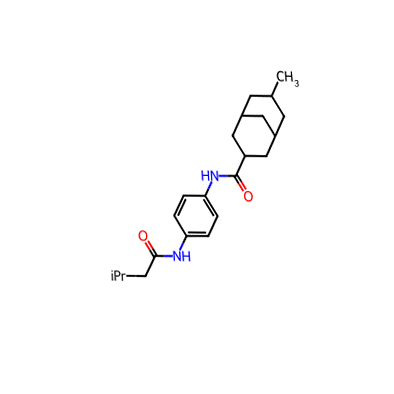 CC(C)CC(=O)Nc1ccc(NC(=O)C2CC3CC(C)CC(C3)C2)cc1